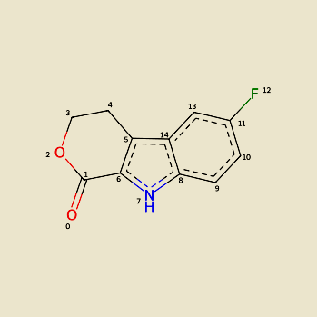 O=C1OCCc2c1[nH]c1ccc(F)cc21